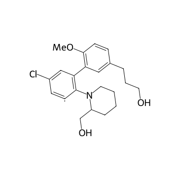 COc1ccc(CCCO)cc1-c1cc(Cl)c[c]c1N1CCCCC1CO